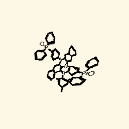 Cc1cc(C)c(B2c3cc(P(=O)(c4ccccc4)c4ccccc4)ccc3N3c4cc5ccccc5cc4N(c4ccc(P(=O)(c5ccccc5)c5ccccc5)cc4)c4cc5ccccc5c2c43)c(C)c1